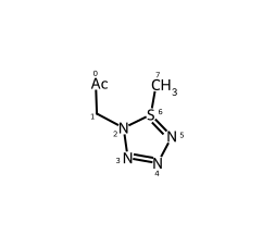 CC(=O)CN1N=NN=S1C